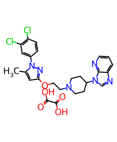 Cc1cc(OCCN2CCC(n3cnc4cccnc43)CC2)nn1-c1ccc(Cl)c(Cl)c1.O=C(O)C(=O)O